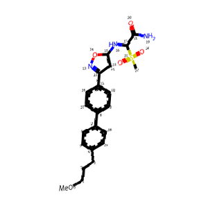 COCCCc1ccc(-c2ccc(C3=NOC(NC(C(N)=O)S(C)(=O)=O)C3)cc2)cc1